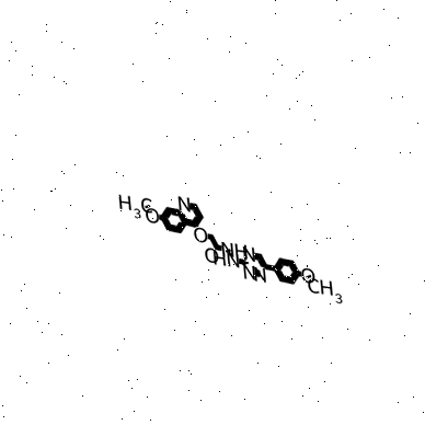 COc1ccc(-c2cnc(NNC(=O)COc3ccnc4cc(OC)ccc34)nn2)cc1